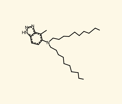 CCCCCCCCCCN(CCCCCCCCCC)c1ccc2[nH]nnc2c1C